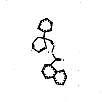 O=C(N/N=C\C1(c2ccccc2)C=CC=CC1)c1cccc2ccccc12